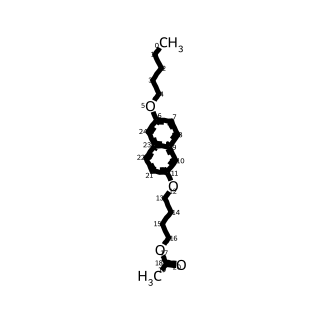 CCCCCOc1ccc2cc(OCCCCOC(C)=O)ccc2c1